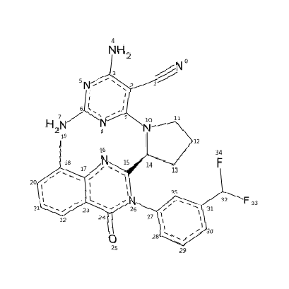 N#Cc1c(N)nc(N)nc1N1CCC[C@H]1c1nc2c(I)cccc2c(=O)n1-c1cccc(C(F)F)c1